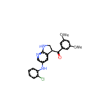 COc1cc(OC)cc(C(=O)C2CNc3ncc(Nc4ccccc4Cl)cc32)c1